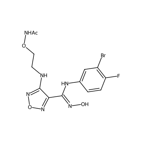 CC(=O)NOCCNc1nonc1/C(=N/O)Nc1ccc(F)c(Br)c1